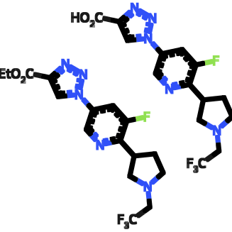 CCOC(=O)c1cn(-c2cnc(C3CCN(CC(F)(F)F)C3)c(F)c2)nn1.O=C(O)c1cn(-c2cnc(C3CCN(CC(F)(F)F)C3)c(F)c2)nn1